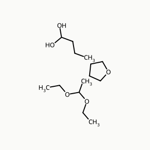 C1CCOC1.CCCC(O)O.CCOC(C)OCC